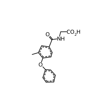 Cc1cc(C(=O)NCC(=O)O)ccc1Oc1ccccc1